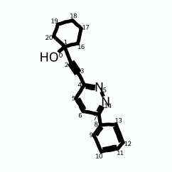 OC1(C#Cc2ccc(-c3ccccc3)nn2)CCCCC1